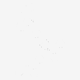 c1ccc(-c2ccccc2-c2nc(-c3ccc(-c4nc5c6ccccc6sc5c5ccccc45)cc3)nc(-c3ccc(-c4cccc5c4oc4ccccc45)cc3)n2)cc1